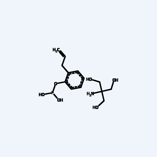 C=CCc1ccccc1OP(O)O.NC(CO)(CO)CO